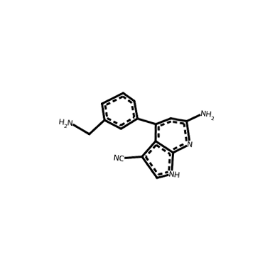 N#Cc1c[nH]c2nc(N)cc(-c3cccc(CN)c3)c12